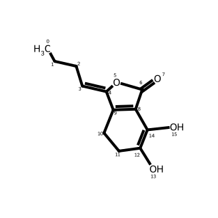 CCC/C=C1\OC(=O)C2=C1CCC(O)=C2O